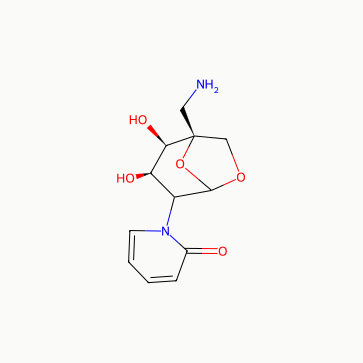 NC[C@@]12COC(O1)C(n1ccccc1=O)[C@@H](O)[C@H]2O